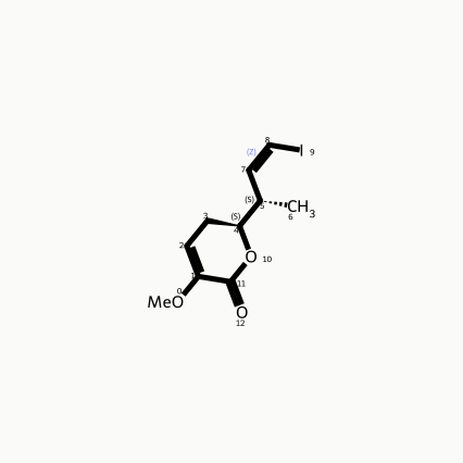 COC1=CC[C@@H]([C@@H](C)/C=C\I)OC1=O